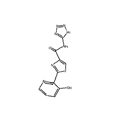 O=C(Nc1nnn[nH]1)c1csc(-c2ncccc2O)n1